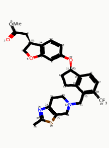 COC(=O)C[C@@H]1COc2cc(O[C@@H]3CCc4c3ccc(C(F)(F)F)c4CN3CCc4nc(C)sc4C3)ccc21